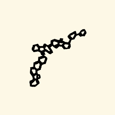 c1ccc(-c2cccc(-c3cccc4c3sc3ccc(-c5ccc6c(c5)c5ccccc5n6-c5ccc6cc7c(ccc8c9ccccc9oc78)cc6c5)cc34)c2)cc1